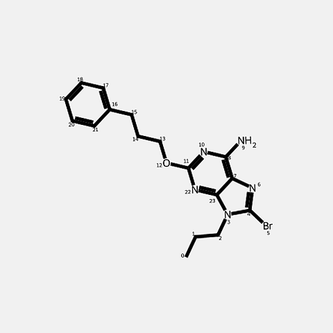 CCCn1c(Br)nc2c(N)nc(OCCCc3ccccc3)nc21